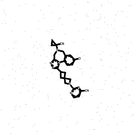 N#Cc1ccnc(N2CC3(CC(c4nnc5n4-c4ccc(Cl)cc4CN(C4(C#N)CC4)C5)C3)C2)n1